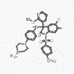 CCOc1ncccc1C1(Nc2ccc(N3CCN(C)CC3)cc2)C(=O)N(S(=O)(=O)c2ccc(OC)cc2)c2cc(F)c(Cl)cc21